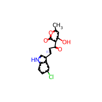 Cc1cc(O)c(C(=O)/C=C/c2c[nH]c3ccc(Cl)cc23)c(=O)o1